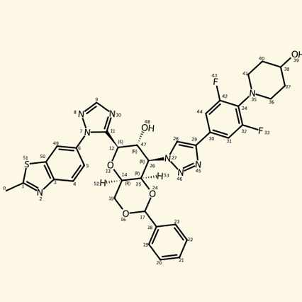 Cc1nc2ccc(-n3ncnc3[C@@H]3O[C@@H]4COC(c5ccccc5)O[C@@H]4[C@H](n4cc(-c5cc(F)c(N6CCC(O)CC6)c(F)c5)nn4)[C@H]3O)cc2s1